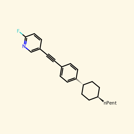 CCCCC[C@H]1CC[C@H](c2ccc(C#Cc3ccc(F)nc3)cc2)CC1